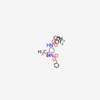 CC(=O)C1CC(NC(=O)OC(C)(C)C)CCC1NC(=O)OCc1ccccc1